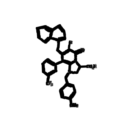 CCc1c(Cc2cccc3ccccc23)c(-c2cccc(C(F)(F)F)c2)c2n(c1=O)C(C(=O)O)CN2Cc1ccc(OC)cc1